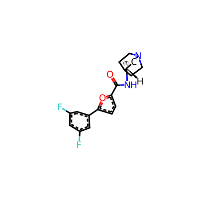 O=C(N[C@H]1CN2CCC1CC2)c1ccc(-c2cc(F)cc(F)c2)o1